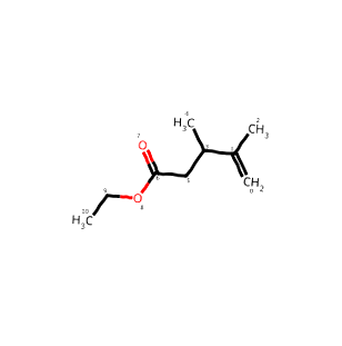 C=C(C)C(C)CC(=O)OCC